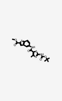 COC(=O)c1cc2cc(NC(=O)c3sc(NC(=O)OC(C)(C)C)nc3C)ccc2s1